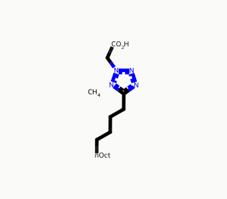 C.CCCCCCCCCCCCc1nnn(CC(=O)O)n1